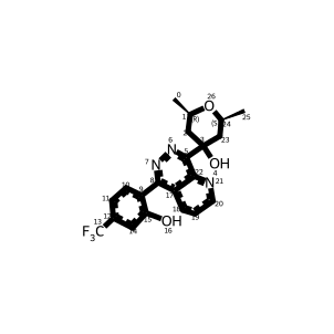 C[C@@H]1CC(O)(c2nnc(-c3ccc(C(F)(F)F)cc3O)c3cccnc23)C[C@H](C)O1